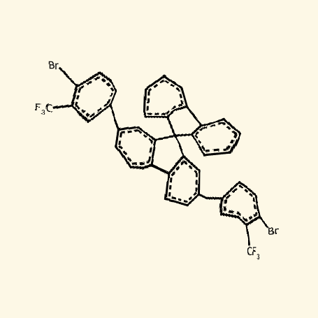 FC(F)(F)c1cc(-c2ccc3c(c2)C2(c4ccccc4-c4ccccc42)c2cc(-c4ccc(Br)c(C(F)(F)F)c4)ccc2-3)ccc1Br